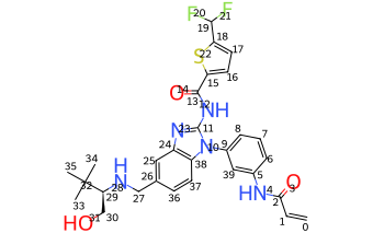 C=CC(=O)Nc1cccc(-n2c(NC(=O)c3ccc(C(F)F)s3)nc3cc(CN[C@@H](CO)C(C)(C)C)ccc32)c1